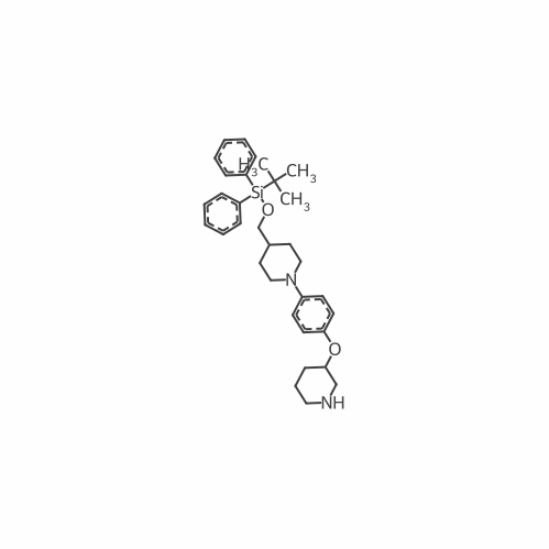 CC(C)(C)[Si](OCC1CCN(c2ccc(OC3CCCNC3)cc2)CC1)(c1ccccc1)c1ccccc1